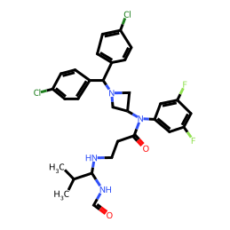 CC(C)C(NC=O)NCCC(=O)N(c1cc(F)cc(F)c1)C1CN(C(c2ccc(Cl)cc2)c2ccc(Cl)cc2)C1